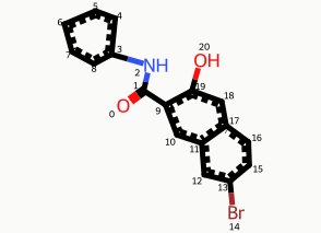 O=C(Nc1ccccc1)c1cc2cc(Br)ccc2cc1O